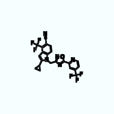 N#Cc1ccc2c(cc(C3CC3)n2Cc2noc(-c3cc(C(F)(F)F)ccn3)n2)c1C(F)(F)F